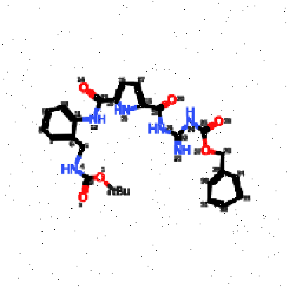 CC(C)(C)OC(=O)NCc1ccccc1NC(=O)c1ccc(C(=O)NC(=N)NC(=O)OCc2ccccc2)[nH]1